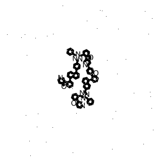 c1ccc(-c2nc(-c3ccc4c(-c5cccc6oc7cc(-c8cc9oc%10cccc(-c%11nc(-c%12ccccc%12)nc(-c%12ccc(-c%13cccc%14c(-c%15cccc%16oc%17ccncc%17c%15%16)cccc%13%14)cc%12)n%11)c%10c9cn8)ccc7c56)cccc4c3)nc(-c3cccc4oc5ccncc5c34)n2)cc1